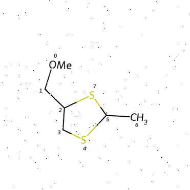 COCC1CS[C](C)S1